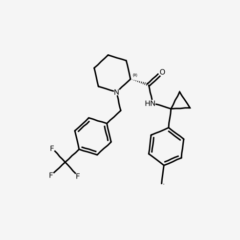 [CH2]c1ccc(C2(NC(=O)[C@H]3CCCCN3Cc3ccc(C(F)(F)F)cc3)CC2)cc1